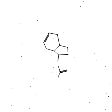 CCC(=O)OC1CCC2CC=CCC21